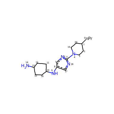 CCCC1CCN(c2ncc(NC3CCC(N)CC3)cn2)CC1